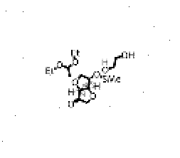 CCOC(C)OCC.CSO[C@@H]1CO[C@@H]2C(=O)CO[C@@H]21.OCCO